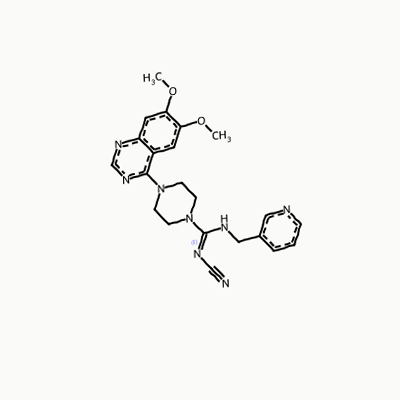 COc1cc2ncnc(N3CCN(/C(=N/C#N)NCc4cccnc4)CC3)c2cc1OC